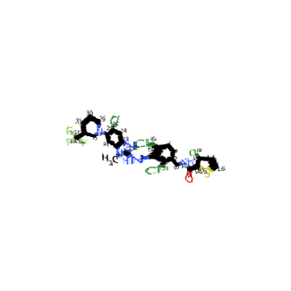 Cn1c(Nc2c(Cl)ccc(CNC(=O)c3sccc3Cl)c2Cl)nc2cc(Cl)c(N3CCCC(C(F)(F)F)C3)cc21